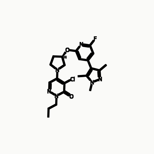 CCCn1ncc(N2CC[C@@H](Oc3cc(-c4c(C)nn(C)c4C)cc(F)n3)C2)c(Cl)c1=O